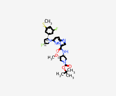 CO[C@H]1CN(C(=O)OC(C)(C)C)C[C@@H]1NC(=O)c1cnc2ccc(N3C[C@@H](F)C[C@@H]3c3cc(F)cc(SC)c3)nn12